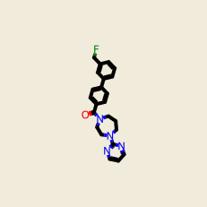 O=C(c1ccc(-c2cccc(CF)c2)cc1)N1CCCN(c2ncccn2)CC1